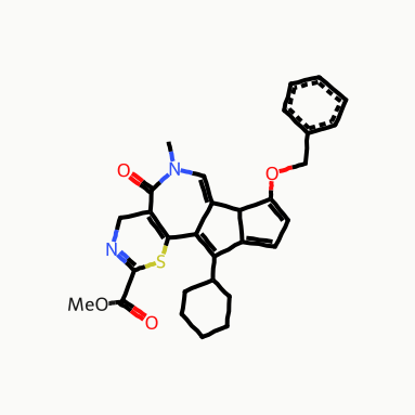 COC(=O)C1=NCC2=C(S1)C1=C(C3CCCCC3)C3=CC=C(OCc4ccccc4)C3C1=CN(C)C2=O